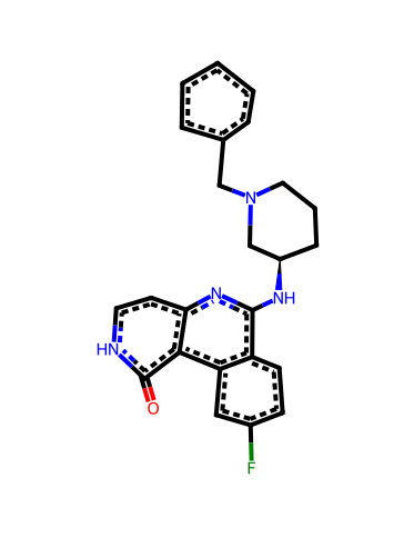 O=c1[nH]ccc2nc(N[C@@H]3CCCN(Cc4ccccc4)C3)c3ccc(F)cc3c12